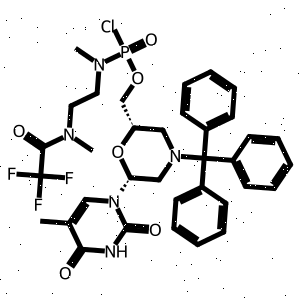 Cc1cn([C@H]2CN(C(c3ccccc3)(c3ccccc3)c3ccccc3)C[C@@H](COP(=O)(Cl)N(C)CCN(C)C(=O)C(F)(F)F)O2)c(=O)[nH]c1=O